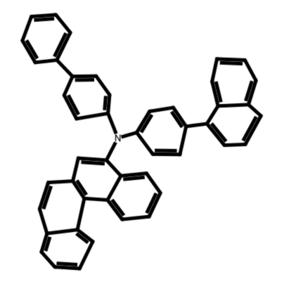 c1ccc(-c2ccc(N(c3ccc(-c4cccc5ccccc45)cc3)c3cc4ccc5ccccc5c4c4ccccc34)cc2)cc1